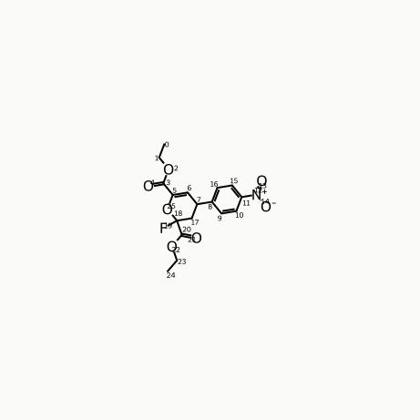 CCOC(=O)C1=CC(c2ccc([N+](=O)[O-])cc2)CC(F)(C(=O)OCC)O1